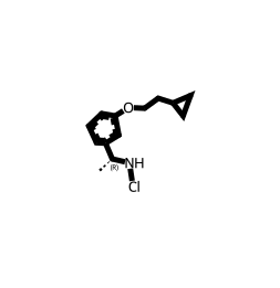 C[C@@H](NCl)c1cccc(OCCC2CC2)c1